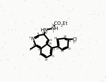 CCOC(=O)NNC1C=NC(C)=c2cccc(-c3ccc(Cl)cc3)c2=C1